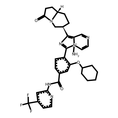 N[N+]12C=CN=CC1=C([C@@H]1CC[C@H]3CCC(=O)N3C1)N=C2c1ccc(C(=O)Nc2cc(C(F)(F)F)ccn2)cc1OC1CCCCC1